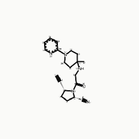 C#C[C@H]1CC[C@@H](C#N)N1C(=O)CNC1(C)CCN(c2ccccn2)CC1